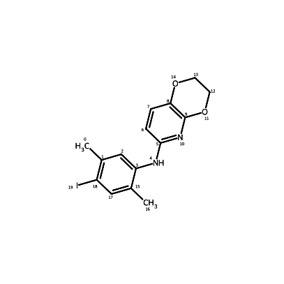 Cc1cc(Nc2ccc3c(n2)OCCO3)c(C)cc1I